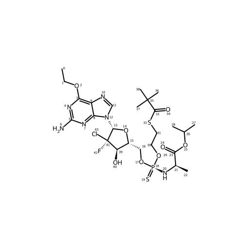 CCOc1nc(N)nc2c1ncn2[C@@H]1O[C@H](CO[P@](=S)(N[C@H](C)C(=O)OC(C)C)OCCSC(=O)C(C)(C)C)[C@@H](O)[C@@]1(F)Cl